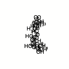 CC1C(=O)OCC1[C@H]1CC[C@]2(O)[C@@H]3CC[C@@H]4C[C@@H](O[C@H]5C[C@H](O)[C@H](O[C@H]6C[C@H](O)[C@H](O[C@H]7C[C@H](O)[C@H](O)[C@@H](C)O7)[C@@H](C)O6)[C@@H](C)O5)CC[C@]4(C)[C@H]3C[C@@H](O)[C@]12C